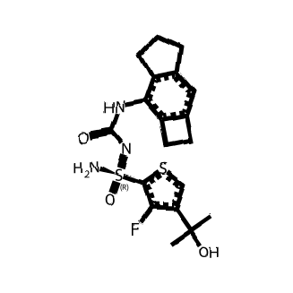 CC(C)(O)c1csc([S@](N)(=O)=NC(=O)Nc2c3c(cc4c2CC4)CCC3)c1F